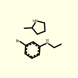 CC1CCCN1.CCNc1cccc(Br)c1